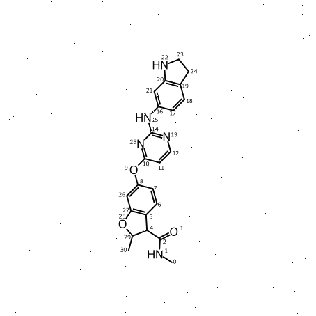 CNC(=O)C1c2ccc(Oc3ccnc(Nc4ccc5c(c4)NCC5)n3)cc2OC1C